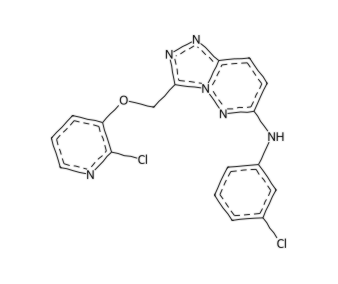 Clc1cccc(Nc2ccc3nnc(COc4cccnc4Cl)n3n2)c1